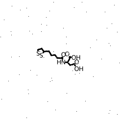 O=C(O)CC(NC(=O)CCCCC1CCSS1)C(=O)O